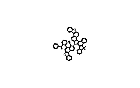 C#Cc1c(-n2c3ccc4c(ccc5sc6ccccc6c54)c3c3c4ccccc4c4c(c32)-c2ccccc2C4(C)C)ccc2c1c(-c1ccccc1C(=C)c1ccccc1)cc1oc3ccccc3c12